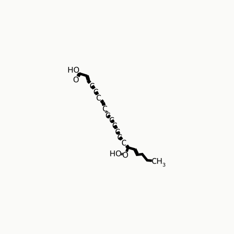 CCCC=CC(=C=C=C=C=C=C=C=C=C=C=C=C=CC(=O)O)OO